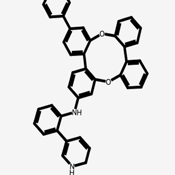 C1=CC(c2ccccc2Nc2ccc3c(c2)Oc2ccccc2-c2ccccc2Oc2cc(-c4ccccc4)ccc2-3)=CNC1